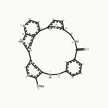 COc1ncc2cc1NSc1cccc(c1)C(=O)NCc1ccc(s1)-c1ccnc3[nH]c-2cc13